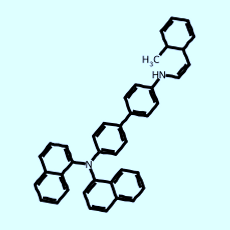 CC1C=CC=CC1/C=C\Nc1ccc(-c2ccc(N(c3cccc4ccccc34)c3cccc4ccccc34)cc2)cc1